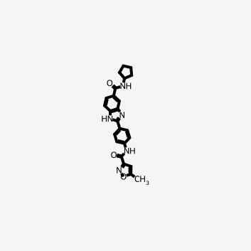 Cc1cc(C(=O)Nc2ccc(-c3nc4cc(C(=O)NC5CCCC5)ccc4[nH]3)cc2)no1